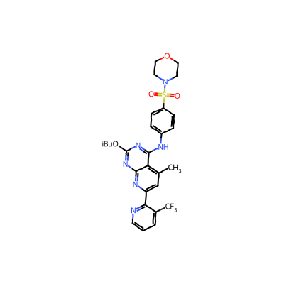 Cc1cc(-c2ncccc2C(F)(F)F)nc2nc(OCC(C)C)nc(Nc3ccc(S(=O)(=O)N4CCOCC4)cc3)c12